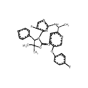 CC(Nc1ncc(F)c(N2C(=O)OC(C)(C)C2c2ccccc2)n1)c1ccc(Oc2ccc(F)cc2)cn1